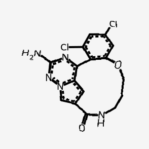 Nc1nc2c3cc(cn3n1)C(=O)NCCCOc1cc(Cl)cc(Cl)c1-2